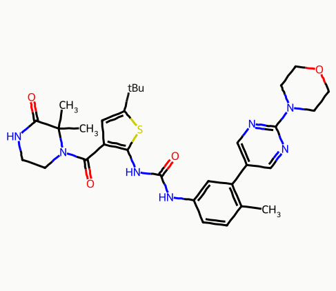 Cc1ccc(NC(=O)Nc2sc(C(C)(C)C)cc2C(=O)N2CCNC(=O)C2(C)C)cc1-c1cnc(N2CCOCC2)nc1